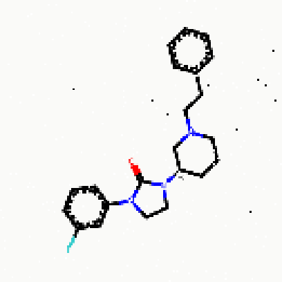 O=C1N(c2cccc(F)c2)CCN1[C@@H]1CCCN(CCc2ccccc2)C1